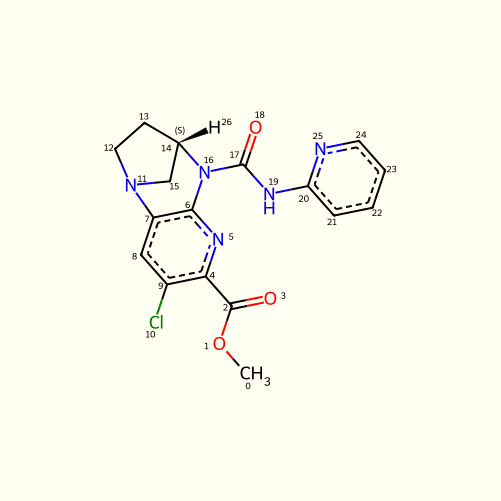 COC(=O)c1nc2c(cc1Cl)N1CC[C@@H](C1)N2C(=O)Nc1ccccn1